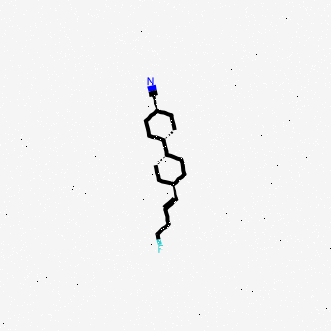 N#C[C@H]1CC[C@H]([C@H]2CC[C@H](C=CCCF)CC2)CC1